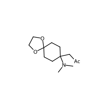 CC(=O)CC1(N(C)C)CCC2(CC1)OCCO2